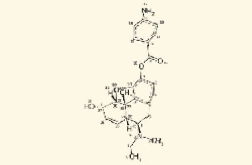 CCN(C)[C@@H]1Cc2ccc(OC(=O)c3ccc(N)cc3)c3c2[C@]2(C)[C@H]1C=C[C@H](O)[C@@H]2O3